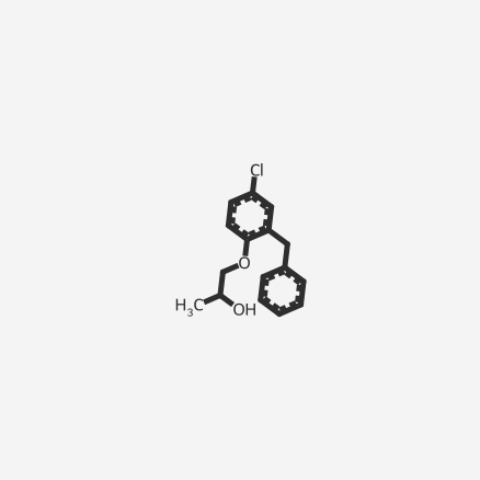 CC(O)COc1ccc(Cl)cc1Cc1ccccc1